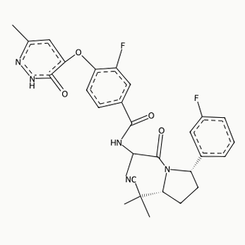 Cc1cc(Oc2ccc(C(=O)NC(C)C(=O)N3[C@H](c4cccc(F)c4)CC[C@@H]3C(C)(C)C#N)cc2F)c(=O)[nH]n1